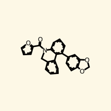 O=C(c1ccco1)N1Cc2ccccc2-c2c(-c3ccc4c(c3)OCO4)cccc21